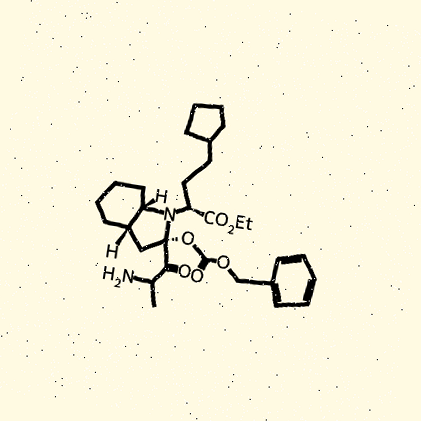 CCOC(=O)[C@H](CCC1CCCC1)N1[C@H]2CCCC[C@H]2C[C@]1(OC(=O)OCc1ccccc1)C(=O)C(C)N